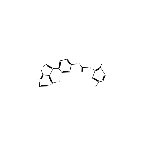 Cl.Nc1ncnc2scc(-c3ccc(NC(=O)Nc4cc(C(F)(F)F)ccc4F)cc3)c12